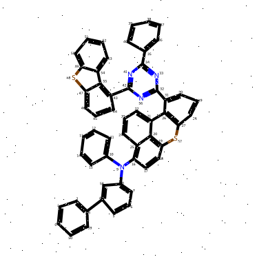 c1ccc(-c2cccc(N(c3ccccc3)c3ccc4c5c(cccc35)-c3c(cccc3-c3nc(-c5ccccc5)nc(-c5cccc6sc7ccccc7c56)n3)S4)c2)cc1